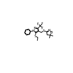 CCSc1c(CSC2=NOC(C)(C)C2)c(C(F)(F)F)nn1-c1ccccc1